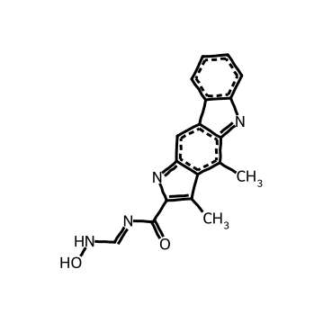 CC1=C(C(=O)N=CNO)N=c2cc3c(c(C)c21)=Nc1ccccc1-3